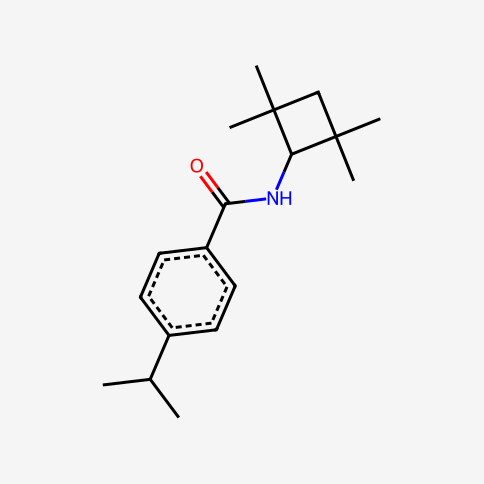 CC(C)c1ccc(C(=O)NC2C(C)(C)CC2(C)C)cc1